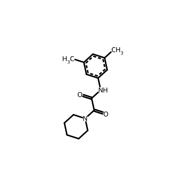 Cc1cc(C)cc(NC(=O)C(=O)N2CCCCC2)c1